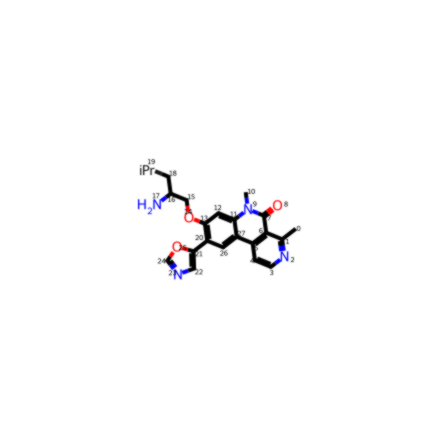 Cc1nccc2c1c(=O)n(C)c1cc(OCC(N)CC(C)C)c(-c3cnco3)cc21